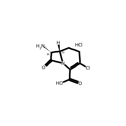 Cl.N[C@H]1C(=O)N2C(C(=O)O)=C(Cl)CC[C@@H]12